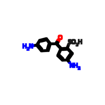 Nc1ccc(C(=O)c2ccc(N)cc2S(=O)(=O)O)cc1